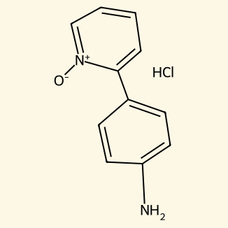 Cl.Nc1ccc(-c2cccc[n+]2[O-])cc1